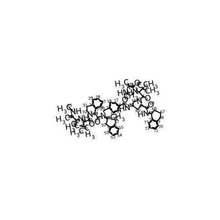 CN[C@@H](C)C(=O)NC(C(=O)N1C[C@@H](NC(=O)c2ccc(CN(C(=O)[C@@H]3c4ccccc4CCN3C(=O)[C@@H](NC(=O)[C@H](C)NC)C(C)(C)C)[C@H](C)Cc3ccccc3F)cc2)CC1C(=O)NC1CCCc2ccccc21)C(C)(C)C